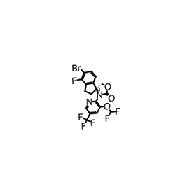 O=C1OC[C@@]2(CCc3c2ccc(Br)c3F)N1c1ncc(C(F)(F)F)cc1OC(F)F